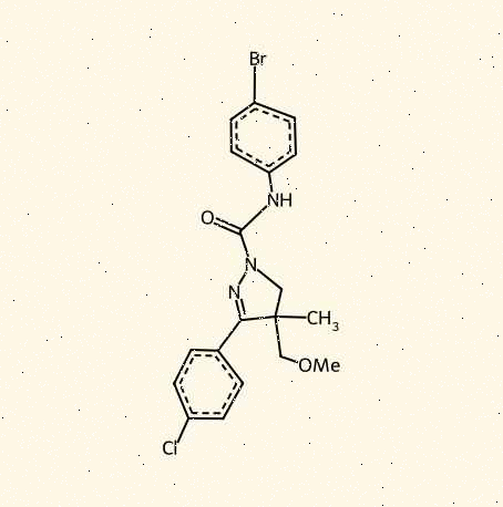 COCC1(C)CN(C(=O)Nc2ccc(Br)cc2)N=C1c1ccc(Cl)cc1